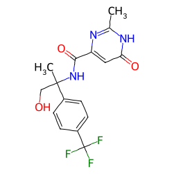 Cc1nc(C(=O)NC(C)(CO)c2ccc(C(F)(F)F)cc2)cc(=O)[nH]1